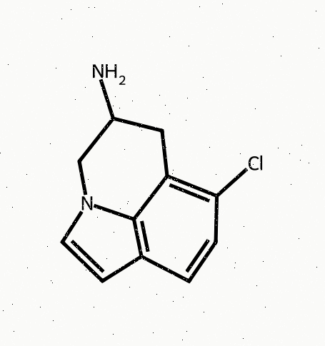 NC1Cc2c(Cl)ccc3ccn(c23)C1